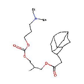 [CH2]C(COC(=O)CC1C2CC3CC(C2)CC1C3)COC(=O)OCCCN(CC)CC